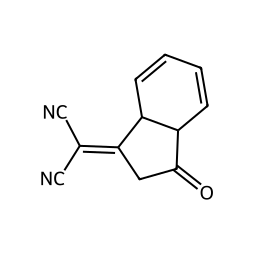 N#CC(C#N)=C1CC(=O)C2C=CC=CC12